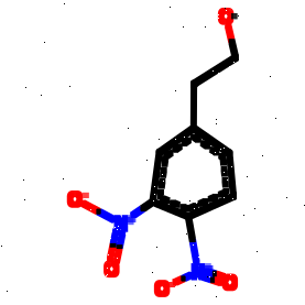 [O]CCc1ccc([N+](=O)[O-])c([N+](=O)[O-])c1